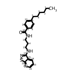 CCCCCCc1ccc(C(=O)NCCCNc2nsc3ncccc23)cc1